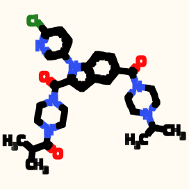 CC(C)C(=O)N1CCN(C(=O)c2cc3cc(C(=O)N4CCN(C(C)C)CC4)ccc3n2-c2ccc(Cl)nc2)CC1